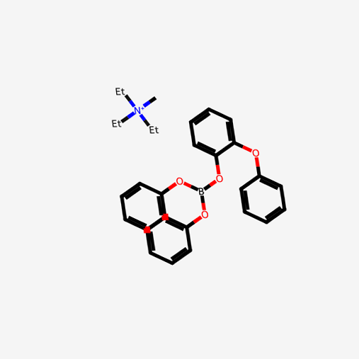 CC[N+](C)(CC)CC.c1ccc(OB(Oc2ccccc2)Oc2ccccc2Oc2ccccc2)cc1